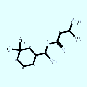 CC(CC(=O)OC(C)C1CCCC(C)(C)C1)C(=O)O